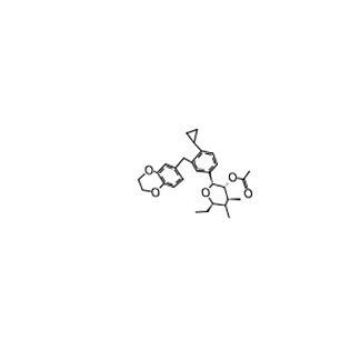 CC[C@H]1O[C@@H](c2ccc(C3CC3)c(Cc3ccc4c(c3)OCCO4)c2)[C@H](OC(C)=O)[C@@H](C)C1C